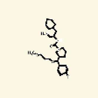 COCCCOC(c1ccc(F)cc1)C1CCCN(C(=O)NC(CN)CC2CCCCC2)C1